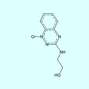 [O-][n+]1nc(NCCO)nc2ccccc21